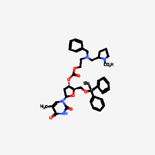 Cc1cn([C@H]2C[C@H](OC(=O)OCCN(Cc3ccccc3)CC3CCCN3C(=O)O)[C@@H](CO[Si](c3ccccc3)(c3ccccc3)C(C)(C)C)O2)c(=O)[nH]c1=O